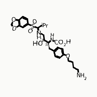 CC(C)C(NC[C@@H](O)[C@H](Cc1ccc(OCCCCN)cc1)NC(=O)O)S(=O)(=O)c1ccc2c(c1)OCO2